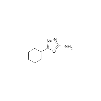 Nc1nnc(C2CCCCC2)o1